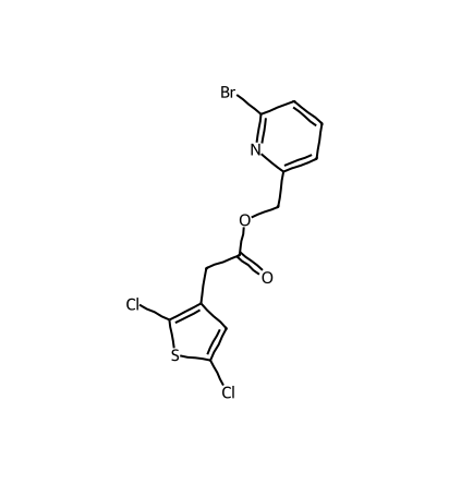 O=C(Cc1cc(Cl)sc1Cl)OCc1cccc(Br)n1